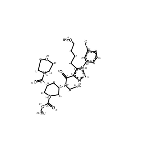 COCCCCc1c(C(=O)N(CC(C)C)[C@H]2C[C@@H](C(=O)N3CCOCC3)CN(C(=O)OC(C)(C)C)C2)nnn1-c1cccc(F)c1